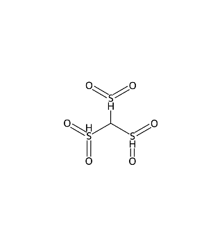 O=[SH](=O)C([SH](=O)=O)[SH](=O)=O